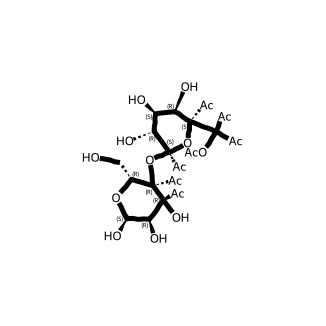 CC(=O)OC(C(C)=O)(C(C)=O)[C@@]1(C(C)=O)O[C@](O[C@]2(C(C)=O)[C@@H](CO)O[C@H](O)[C@H](O)[C@]2(O)C(C)=O)(C(C)=O)[C@H](O)[C@@H](O)[C@H]1O